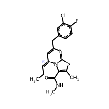 CC/C=C1/C=C(Cc2ccc(F)c(Cl)c2)N=C2SC(C)=C(C(=O)NC)N21